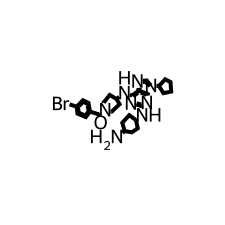 NC1CCC(Nc2nc(NC3CCN(C(=O)c4ccc(Br)cc4)CC3)c3ncn(C4CCCC4)c3n2)CC1